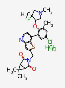 Cc1cc(Cl)cc(-c2ccnc3cc(CN4C(=O)C5C(C4=O)C5(C)C)sc23)c1OC1CN(C)CC1(C)F.Cl.Cl